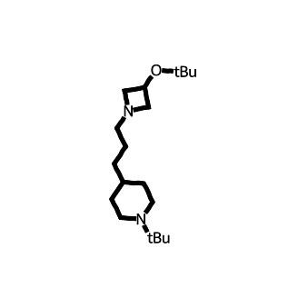 CC(C)(C)OC1CN(CCCC2CCN(C(C)(C)C)CC2)C1